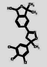 CC1(C)OB(O)c2ccc(C3=NOC(C)(c4cc(Cl)c(Cl)c(Cl)c4)C3)cc21